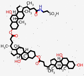 C[C@H](CCC(=O)O[C@@H]1CC[C@@]2(C)C(C1)C[C@H](O)[C@H]1C3CC[C@H]([C@H](C)CCC(=O)O[C@@H]4CC[C@@]5(C)C(C4)C[C@H](O)[C@H]4C6CC[C@H]([C@H](C)CCC(=O)NCCS(=O)(=O)O)[C@@]6(C)CC[C@@H]45)[C@@]3(C)CC[C@@H]12)[C@H]1CCC2[C@@H]3[C@@H](O)CC4C[C@H](O)CC[C@]4(C)[C@H]3CC[C@@]21C